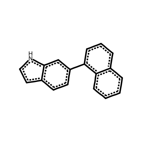 c1ccc2c(-c3ccc4cc[nH]c4c3)cccc2c1